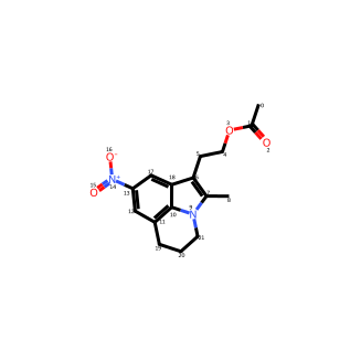 CC(=O)OCCc1c(C)n2c3c(cc([N+](=O)[O-])cc13)CCC2